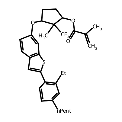 C=C(C)C(=O)OC1CCC(Oc2ccc3cc(-c4ccc(CCCCC)cc4CC)sc3c2)C1(C)C(F)(F)F